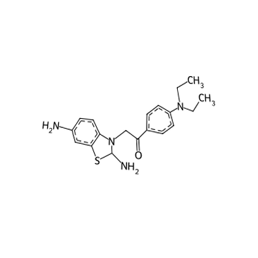 CCN(CC)c1ccc(C(=O)CN2c3ccc(N)cc3SC2N)cc1